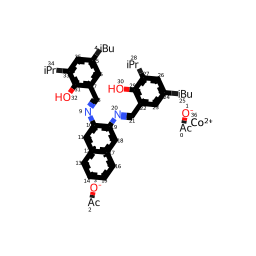 CC(=O)[O-].CC(=O)[O-].CCC(C)c1cc(C=Nc2cc3ccccc3cc2N=Cc2cc(C(C)CC)cc(C(C)C)c2O)c(O)c(C(C)C)c1.[Co+2]